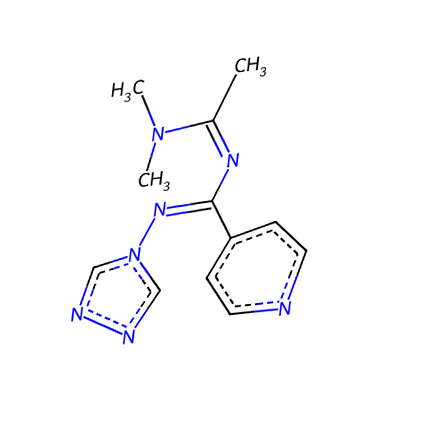 C/C(=N/C(=N/n1cnnc1)c1ccncc1)N(C)C